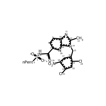 CCCCCS(=O)(=O)NC(=O)c1ccc2nc(C)n(Cc3cc([N+](=O)[O-])c(Cl)cc3Cl)c2n1